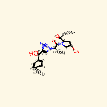 CNC(=O)C1CC(O)CN1C(=O)[C@@H](n1cc(C(O)c2ccc(C(C)(C)C)cc2)nn1)C(C)(C)C